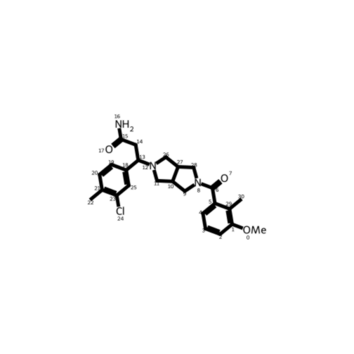 COc1cccc(C(=O)N2CC3CN(C(CC(N)=O)c4ccc(C)c(Cl)c4)CC3C2)c1C